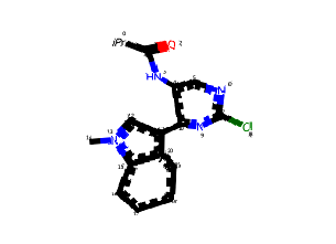 CC(C)C(=O)Nc1cnc(Cl)nc1-c1cn(C)c2ccccc12